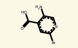 Nc1cnc(Br)cc1C(=O)O